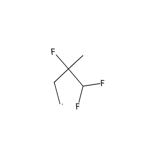 [CH2]CC(C)(F)C(F)F